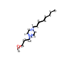 CCCCCCCCN1CCN(CCCOC)CC1